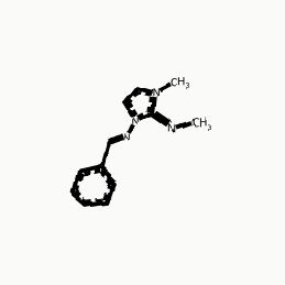 CN=c1n(C)ccn1N=Cc1ccccc1